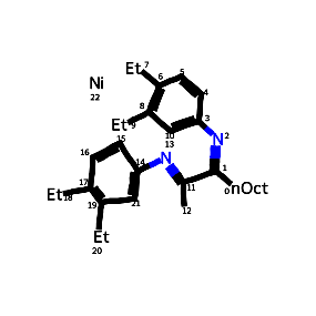 CCCCCCCCC(=Nc1ccc(CC)c(CC)c1)C(C)=Nc1ccc(CC)c(CC)c1.[Ni]